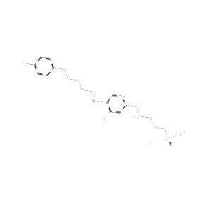 O=P(O)(O)CCCNCc1cc(Cl)c(NCCCCCc2ccc(F)cc2)cn1